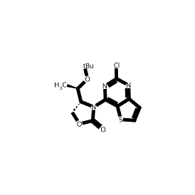 C[C@@H](OC(C)(C)C)[C@H]1COC(=O)N1c1nc(Cl)nc2ccsc12